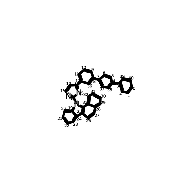 c1ccc(-c2ccc(-c3cccc(-c4ccnc(-n5c6ccccc6c6ccc7ccccc7c65)n4)c3)cc2)cc1